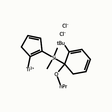 CCCOC1([Si](C)(C)C2=[C]([Ti+2])CC=C2)CC=CC=C1C(C)(C)C.[Cl-].[Cl-]